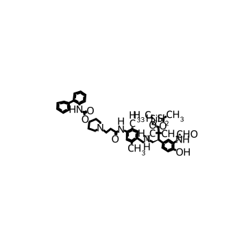 C[SiH2]OC(O[SiH2]C)C(C)(C)[C@H](CNCc1cc(C)c(NC(=O)CCN2CCC(OC(=O)Nc3ccccc3-c3ccccc3)CC2)cc1C)c1ccc(O)c(NC=O)c1